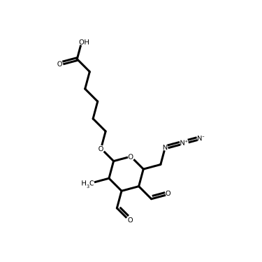 CC1C(OCCCCCC(=O)O)OC(CN=[N+]=[N-])C(C=O)C1C=O